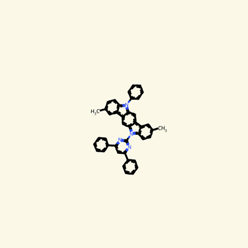 Cc1ccc2c(c1)c1cc3c(cc1n2-c1ccccc1)c1cc(C)ccc1n3-c1nc(-c2ccccc2)cc(-c2ccccc2)n1